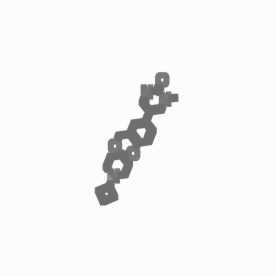 Cn1cc(-c2ccc3c(c2)COC2(CCN(C4CCC4)CC2)O3)cnc1=O